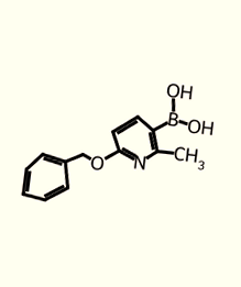 Cc1nc(OCc2ccccc2)ccc1B(O)O